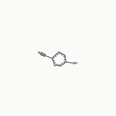 N#Cc1ccc([NH])cn1